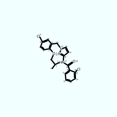 CC(C)COc1ccc(Cl)cc1Cn1ccc(NC(=O)c2ccccc2Cl)n1